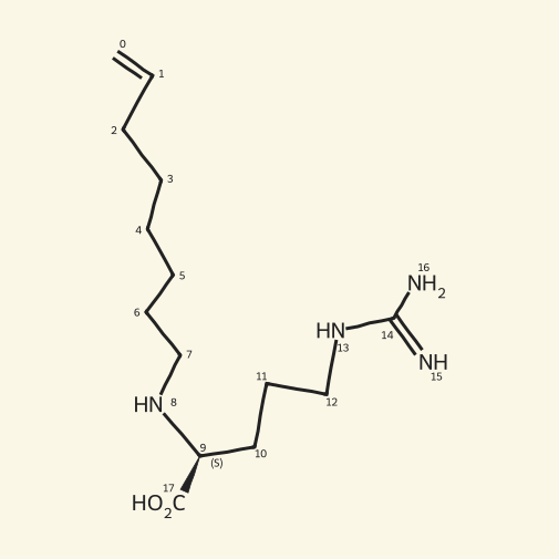 C=CCCCCCCN[C@@H](CCCNC(=N)N)C(=O)O